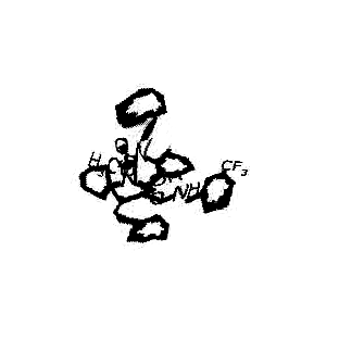 CS(=O)(=O)N(c1ccccc1)c1ccccc1C(=O)NC1([C@H](Cc2ccccc2)[C@@H](O)CNCc2cccc(C(F)(F)F)c2)CCCCC1